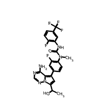 CC(O)c1cc(-c2ccc(N(C)C(=O)Nc3cc(C(F)(F)F)ccc3F)c(F)c2)c2c(N)ncnn12